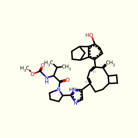 C=C1/C(c2ccc(O)c3c2C2CCC3C2)=C\C=C(\c2cnc(C3CCCN3C(=O)C(NC(=O)OC)C(C)C)[nH]2)CCC2CCC12